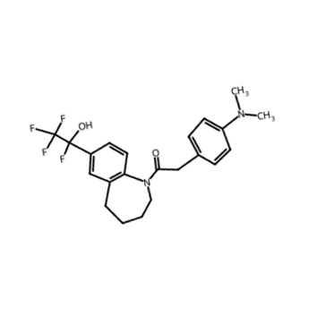 CN(C)c1ccc(CC(=O)N2CCCCc3cc(C(O)(F)C(F)(F)F)ccc32)cc1